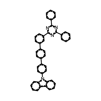 c1ccc(-c2nc(-c3ccccc3)nc(-c3cccc(-c4ccc(-c5ccc(-n6c7ccccc7c7ccccc76)cc5)cc4)c3)n2)cc1